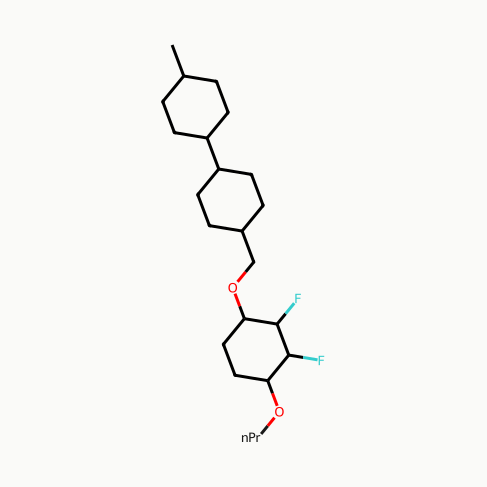 CCCOC1CCC(OCC2CCC(C3CCC(C)CC3)CC2)C(F)C1F